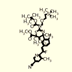 C=C1C(C)(C(=O)OC)SC(N(COCC[Si](C)(C)C)C(=O)OC(C)(C)C)=N[C@]1(C)c1cc(/C=C(\F)c2ncc(C#N)cc2C)ccc1F